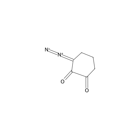 [N-]=[N+]=C1CCCC(=O)C1=O